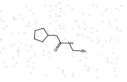 CCC(C)CNC(=O)CC1CCCC1